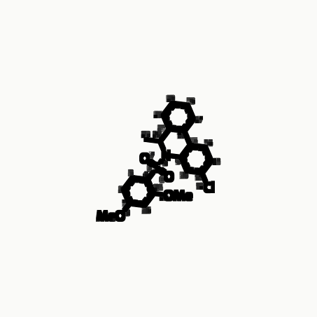 COc1ccc(S(=O)(=O)N2c3cc(Cl)ccc3-c3ccccc3C2C)c(OC)c1